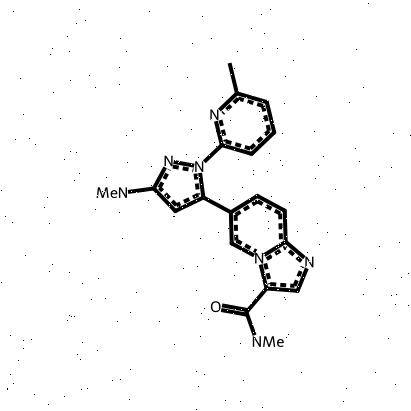 CNC(=O)c1cnc2ccc(-c3cc(NC)nn3-c3cccc(C)n3)cn12